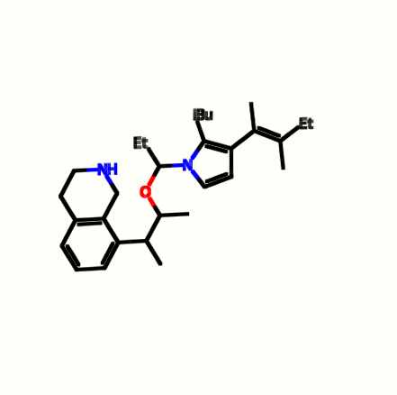 CC/C(C)=C(\C)c1ccn(C(CC)OC(C)C(C)c2cccc3c2CNCC3)c1C(C)CC